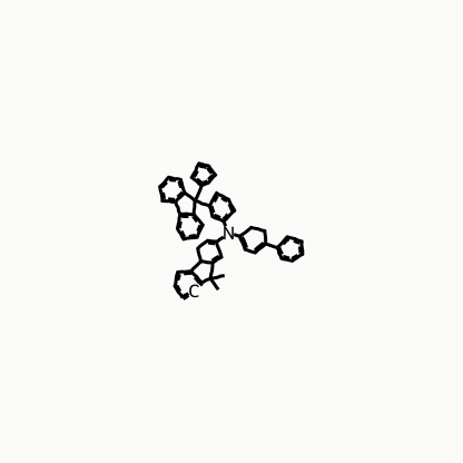 CC1(C)C2=CC(N(C3=CC=C(c4ccccc4)CC3)c3cccc(C4(c5ccccc5)c5ccccc5-c5ccccc54)c3)=CCC2c2ccccc21